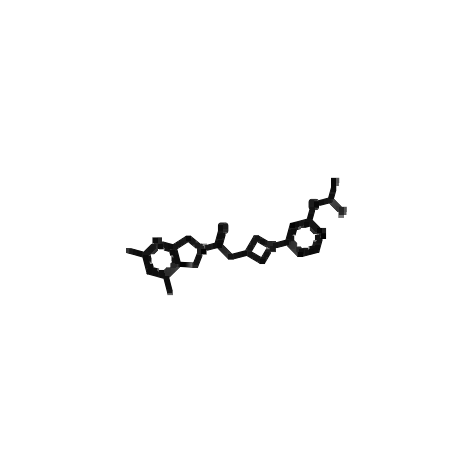 Cc1cc(C)c2c(n1)CN(C(=O)CC1CN(c3ccnc(OC(F)F)c3)C1)C2